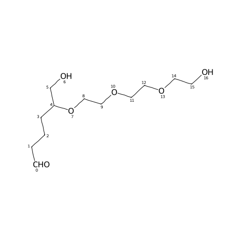 O=CCCCC(CO)OCCOCCOCCO